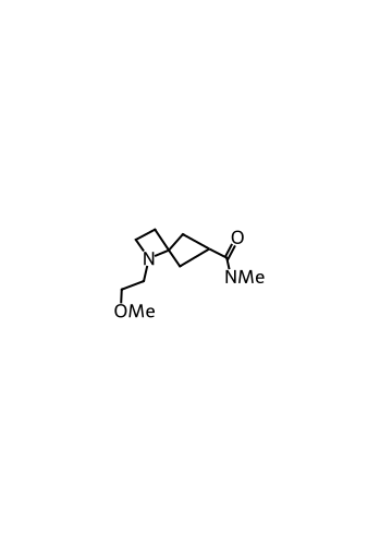 CNC(=O)C1CC2(CCN2CCOC)C1